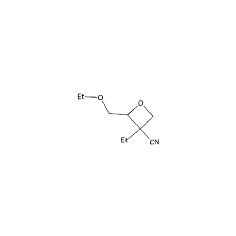 CCOCC1OCC1(C#N)CC